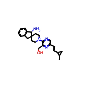 CC1CC1C=Cc1cnc(N2CCC3(CC2)Cc2ccccc2[C@H]3N)c(CO)n1